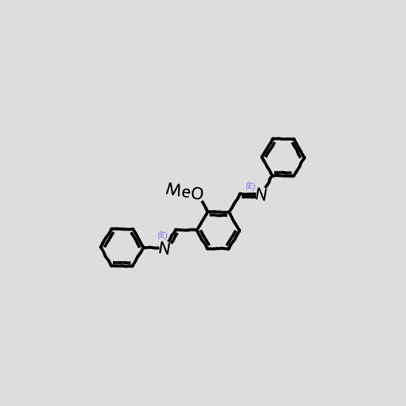 COc1c(/C=N/c2ccccc2)cccc1/C=N/c1ccccc1